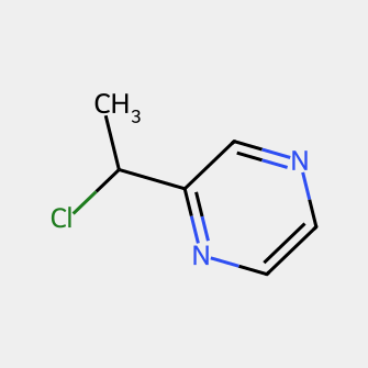 CC(Cl)c1cnccn1